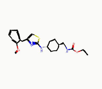 CCOC(=O)NC[C@H]1CC[C@H](Nc2nc(-c3ccccc3OC)cs2)CC1